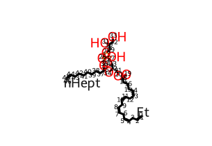 CC/C=C\C/C=C\C/C=C\C/C=C\C/C=C\CCCC(=O)OC[C@H](COP(=O)(O)OC[C@@H](O)CO)OC(=O)CCCCCCC/C=C\CCCCCCC